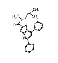 CN(C)CCN(C)C(=O)c1cc2nc(-c3ccccc3)cc(-c3ccccc3)n2n1